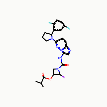 CC(C)C(=O)OC1CN(C(=O)Nc2cnc3ccc(N4CCCC4c4cc(F)ccc4F)nn23)C1I